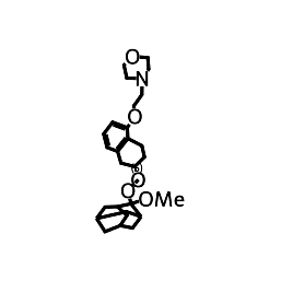 COC1(OO[C@H]2CCc3c(cccc3OCCN3CCOCC3)C2)C2CC3CC(C2)CC1C3